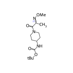 CO/N=C(\C)C(=O)N1CCC(NC(=O)OC(C)(C)C)CC1